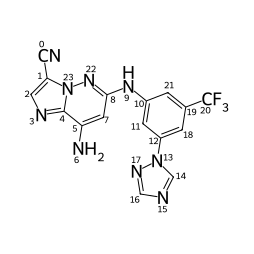 N#Cc1cnc2c(N)cc(Nc3cc(-n4cncn4)cc(C(F)(F)F)c3)nn12